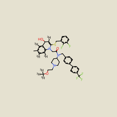 [2H]C1=C(SCc2cccc(F)c2F)N(CC(=O)N(Cc2ccc(-c3ccc(C(F)(F)F)cc3)cc2)C2CCN(CCOC([2H])([2H])[2H])CC2)c2c([2H])c([2H])c(C)c([2H])c2C1O